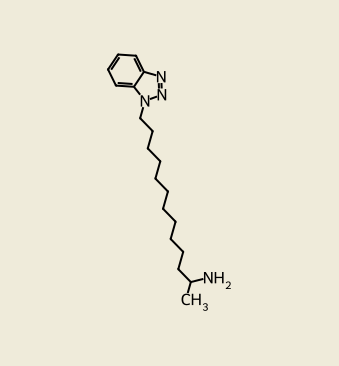 CC(N)CCCCCCCCCCCn1nnc2ccccc21